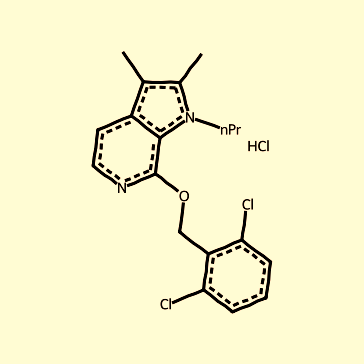 CCCn1c(C)c(C)c2ccnc(OCc3c(Cl)cccc3Cl)c21.Cl